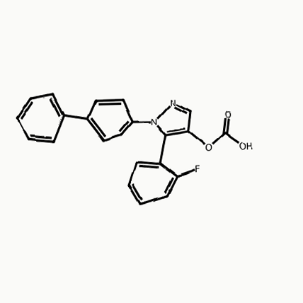 O=C(O)Oc1cnn(-c2ccc(-c3ccccc3)cc2)c1-c1ccccc1F